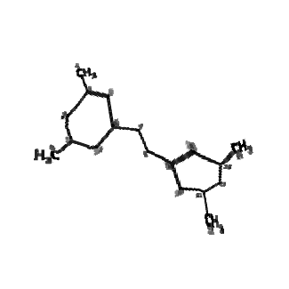 CC1CC(C)CC(CCC2CC(C)CC(C)C2)C1